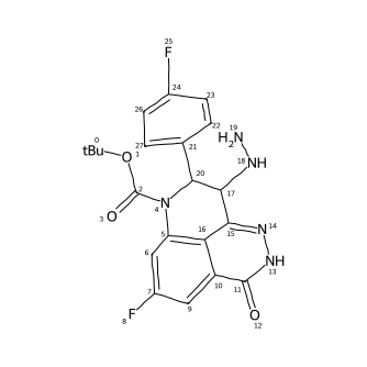 CC(C)(C)OC(=O)N1c2cc(F)cc3c(=O)[nH]nc(c23)C(NN)C1c1ccc(F)cc1